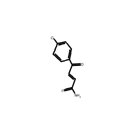 NC(=O)/C=C/C(=O)c1ccc(Cl)cc1